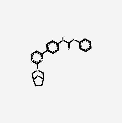 O=C(Nc1ccc(-c2ccnc(N3CC4CCC(C3)O4)n2)cc1)Oc1ccccc1